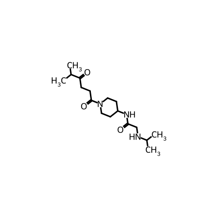 CC(C)NCC(=O)NC1CCN(C(=O)CCC(=O)C(C)C)CC1